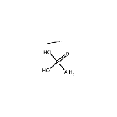 O=[P](O)(O)[AlH2].[CH2]C